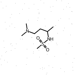 CC(CCN(C)C)NS(C)(=O)=O